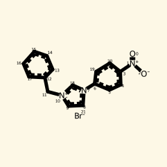 O=[N+]([O-])c1ccc(-n2cc[n+](Cc3ccccc3)c2)cc1.[Br-]